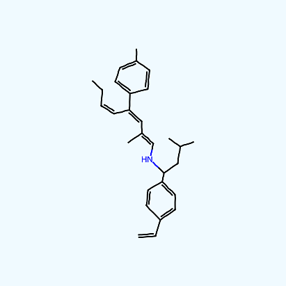 C=Cc1ccc(C(CC(C)C)N/C=C(C)/C=C(\C=C/CC)c2ccc(C)cc2)cc1